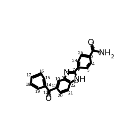 NC(=O)c1ccc(-c2nc3cc(C(=O)c4ccccc4)ccc3[nH]2)cc1